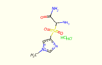 Cl.Cl.Cn1cnc(S(=O)(=O)C(N)C(N)=O)c1